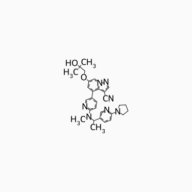 CC(c1ccc(N2CCCC2)nc1)N(C)c1ccc(-c2cc(OCC(C)(C)O)cn3ncc(C#N)c23)cn1